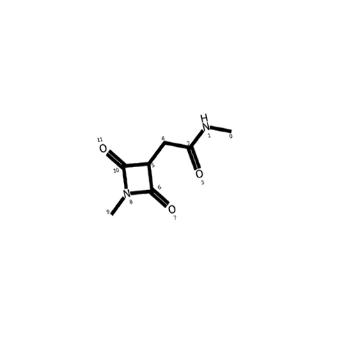 CNC(=O)CC1C(=O)N(C)C1=O